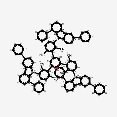 N#Cc1ccc(-n2c3ccc(-c4ccccc4)cc3c3cccc(-c4ccccc4)c32)c(C#N)c1-c1cc(-c2c(C#N)ccc(-n3c4ccc(-c5ccccc5)cc4c4cccc(-c5ccccc5)c43)c2C#N)cc(-c2c(C#N)ccc(-n3c4ccc(-c5ccccc5)cc4c4cccc(-c5ccccc5)c43)c2C#N)c1